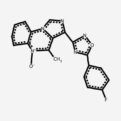 Cc1c2c(-c3noc(-c4ccc(F)cc4)n3)ncn2c2ccccc2[n+]1[O-]